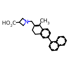 CC1=C(CN2CC(C(=O)O)C2)CCc2cc(-c3cccc4ccccc34)ccc21